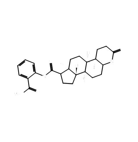 COC(=O)c1ccccc1NC(=O)C1CC[C@H]2[C@@H]3CCC4NC(=O)CC[C@]4(C)[C@@H]3CC[C@]12C